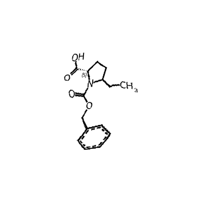 CCC1CC[C@@H](C(=O)O)N1C(=O)OCc1ccccc1